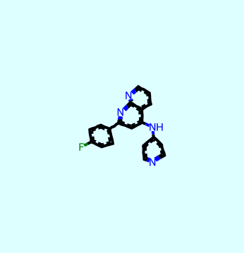 Fc1ccc(-c2cc(Nc3ccncc3)c3cccnc3n2)cc1